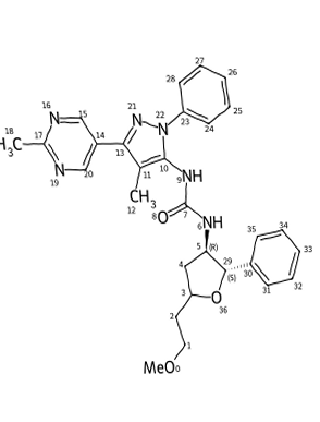 COCCC1C[C@@H](NC(=O)Nc2c(C)c(-c3cnc(C)nc3)nn2-c2ccccc2)[C@H](c2ccccc2)O1